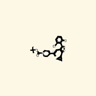 C/C(=C\c1c(-c2c(Cl)cccc2Cl)noc1C1CC1)C1CCN(C(=O)OC(C)(C)C)CC1